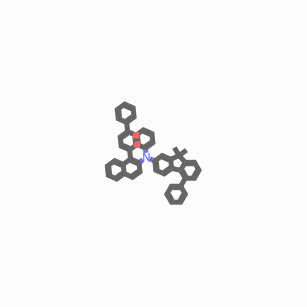 CC1(C)c2cc(N(c3ccccc3)c3ccc4ccccc4c3-c3ccc(-c4ccccc4)cc3)ccc2-c2c(-c3ccccc3)cccc21